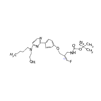 CCCCN(CCO)c1ccnc(-c2ccc(OC/C(=C/F)CNC(=O)OC(C)(C)C)cc2)n1